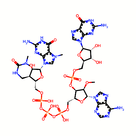 CO[C@@H]1[C@H](OP(=O)([O-])OC[C@H]2O[C@@H](n3cnc4c(=O)[nH]c(N)nc43)[C@H](O)[C@@H]2O)[C@@H](COP(=O)(O)OP(=O)(O)OP(=O)(O)OC[C@H]2O[C@@H](n3c[n+](C)c4c(=O)[nH]c(N)nc43)[C@H](O)[C@@H]2CNC(=O)N(C)C)O[C@H]1n1cnc2c(N)ncnc21